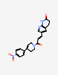 O=C1CCc2cc(/C=C/C(=O)N3CC=C(c4ccc([N+](=O)[O-])cc4)CC3)cnc2N1